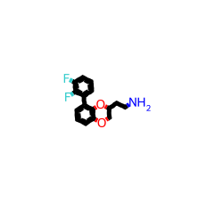 NCCC1COc2cccc(-c3cccc(F)c3F)c2O1